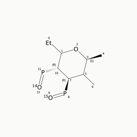 CCC1O[C@@H](C)C(C)[C@@H](P=[15O])[C@@H]1P=[14O]